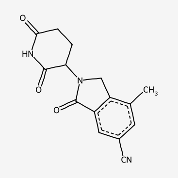 Cc1cc(C#N)cc2c1CN(C1CCC(=O)NC1=O)C2=O